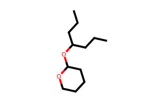 CCCC(CCC)OC1CCCCO1